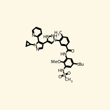 COc1c(NC(=O)c2ccc(C)c(N3C=C(c4cnn(C5CC5)c4-c4ccccn4)NN3)c2)cc(C(C)(C)C)cc1NS(C)(=O)=O